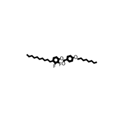 CCCCCCCCCCc1ccc(OC(=O)c2ccc(OCCCCCCCC)cc2)c(F)c1F